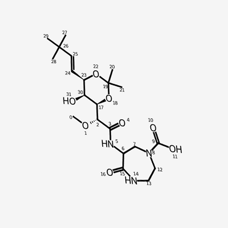 CO[C@@H](C(=O)NC1CN(C(=O)O)CCNC1=O)[C@@H]1OC(C)(C)O[C@H](/C=C/C(C)(C)C)[C@@H]1O